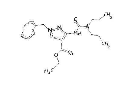 CCCN(CCC)C(=S)Nc1nn(Cc2ccccc2)cc1C(=O)OCC